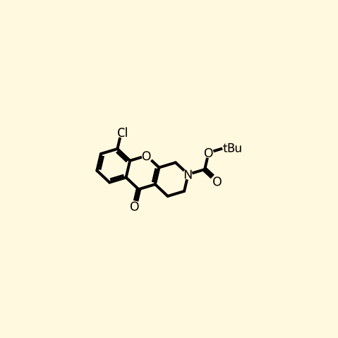 CC(C)(C)OC(=O)N1CCc2c(oc3c(Cl)cccc3c2=O)C1